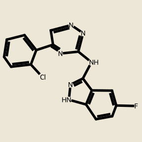 Fc1ccc2[nH]nc(Nc3nncc(-c4ccccc4Cl)n3)c2c1